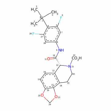 C[Si](C)(C)c1c(F)cc(NC(=O)[C@H]2c3ccc4c(c3CCN2C(=O)O)OCO4)cc1F